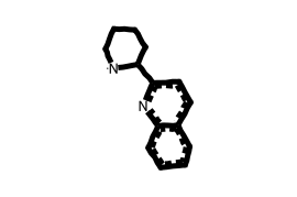 c1ccc2nc(C3CCCC[N]3)ccc2c1